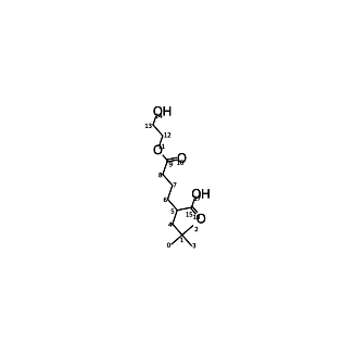 CC(C)(C)CC(CCCC(=O)OCCO)C(=O)O